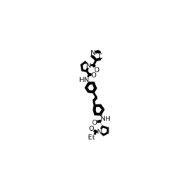 CCC(=O)N1CCC[C@H]1C(=O)Nc1ccc(/C=C/c2ccc(NC(=O)C3CCCN3C(=O)c3cccnc3)cc2)cc1